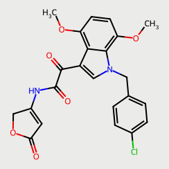 COc1ccc(OC)c2c1c(C(=O)C(=O)NC1=CC(=O)OC1)cn2Cc1ccc(Cl)cc1